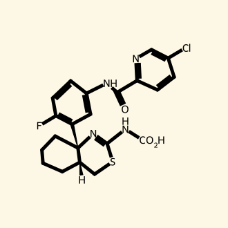 O=C(O)NC1=N[C@@]2(c3cc(NC(=O)c4ccc(Cl)cn4)ccc3F)CCCC[C@H]2CS1